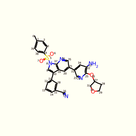 Cc1ccc(S(=O)(=O)n2cc(-c3cccc(C#N)c3)c3cc(-c4cnc(OC5CCOC5)c(N)c4)cnc32)cc1